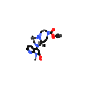 C[C@@H]1CN(c2cc(=O)n(C)c3ncccc23)C[C@@H]2CN(C(=O)OC(C)(C)C)CCN21